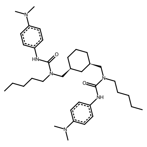 CCCCCN(C[C@@H]1CCC[C@H](CN(CCCCC)C(=O)Nc2ccc(N(C)C)cc2)C1)C(=O)Nc1ccc(N(C)C)cc1